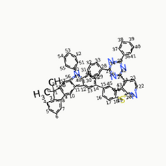 CC1(C)c2ccccc2-c2cc3c4cc(-c5ccc6sc7nccc(-c8nc(-c9ccccc9)nc(-c9ccccc9)n8)c7c6c5)ccc4n(-c4ccccc4)c3cc21